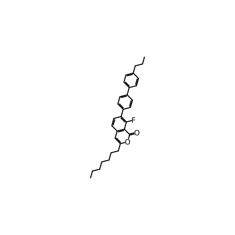 CCCCCCCc1cc2ccc(-c3ccc(-c4ccc(CCC)cc4)cc3)c(F)c2c(=O)o1